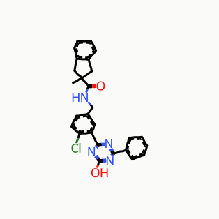 CC1(C(=O)NCc2ccc(Cl)c(-c3nc(O)nc(-c4ccccc4)n3)c2)Cc2ccccc2C1